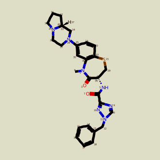 CN1C(=O)[C@@H](NC(=O)c2ncn(Cc3ccccc3)n2)CSc2ccc(N3CCN4CCC[C@@H]4C3)cc21